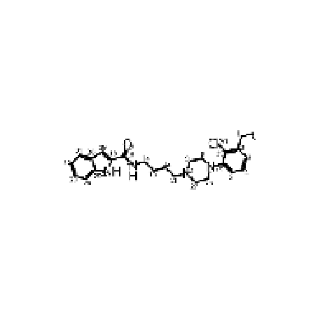 CCc1cccc(N2CCN(CCCCNC(=O)c3cc4ccccc4[nH]3)CC2)c1Cl